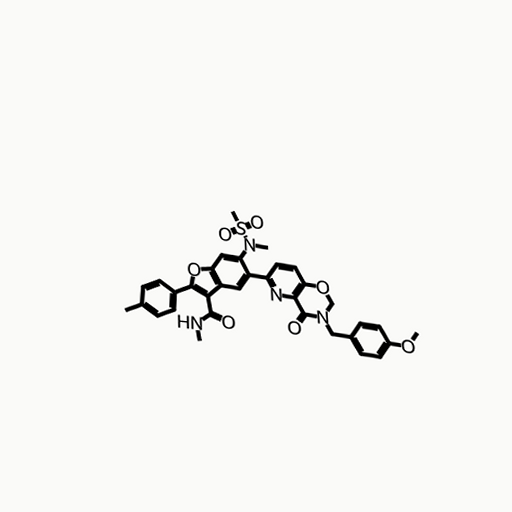 CNC(=O)c1c(-c2ccc(C)cc2)oc2cc(N(C)S(C)(=O)=O)c(-c3ccc4c(n3)C(=O)N(Cc3ccc(OC)cc3)CO4)cc12